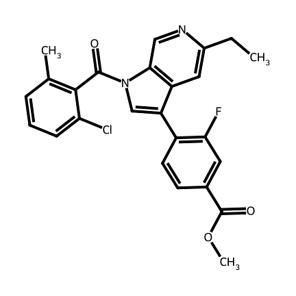 CCc1cc2c(-c3ccc(C(=O)OC)cc3F)cn(C(=O)c3c(C)cccc3Cl)c2cn1